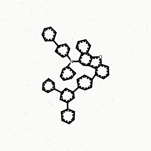 c1ccc(-c2ccc(N(c3ccccc3)c3cc4c(oc5cccc(-c6ccc(-c7cc(-c8ccccc8)cc(-c8ccccc8)c7)cc6)c54)c4ccccc34)cc2)cc1